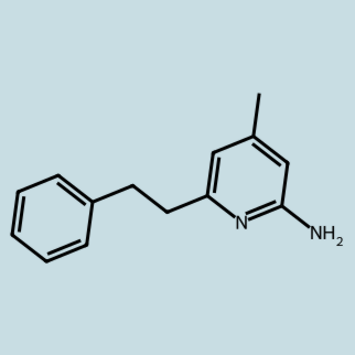 Cc1cc(N)nc(CCc2ccccc2)c1